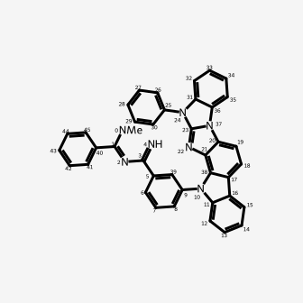 CN/C(=N\C(=N)c1cccc(-n2c3ccccc3c3ccc4c(nc5n(-c6ccccc6)c6ccccc6n45)c32)c1)c1ccccc1